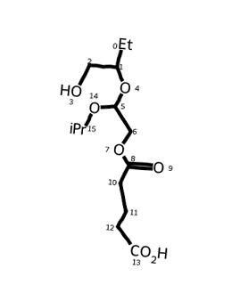 CCC(CO)OC(COC(=O)CCCC(=O)O)OC(C)C